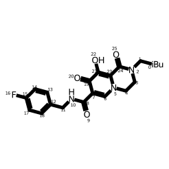 CCC(C)CN1CCn2cc(C(=O)NCc3ccc(F)cc3)c(=O)c(O)c2C1=O